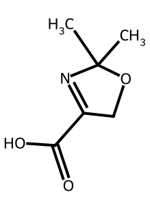 CC1(C)N=C(C(=O)O)CO1